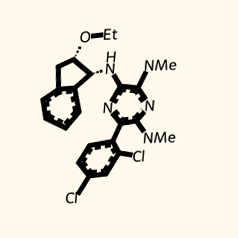 CCO[C@H]1Cc2ccccc2[C@H]1Nc1nc(-c2ccc(Cl)cc2Cl)c(NC)nc1NC